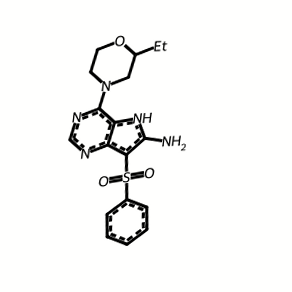 CCC1CN(c2ncnc3c(S(=O)(=O)c4ccccc4)c(N)[nH]c23)CCO1